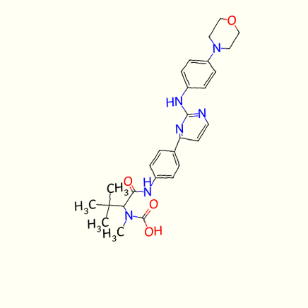 CN(C(=O)O)C(C(=O)Nc1ccc(-c2ccnc(Nc3ccc(N4CCOCC4)cc3)n2)cc1)C(C)(C)C